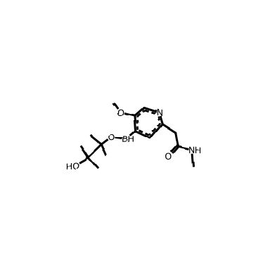 CNC(=O)Cc1cc(BOC(C)(C)C(C)(C)O)c(OC)cn1